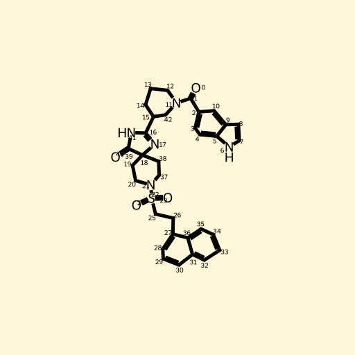 O=C(c1ccc2[nH]ccc2c1)N1CCCC(C2=NC3(CCN(S(=O)(=O)CCc4cccc5ccccc45)CC3)C(=O)N2)C1